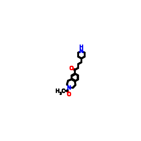 CC(=O)N1CCc2ccc(C(=O)CCCC3CCNCC3)cc2CC1